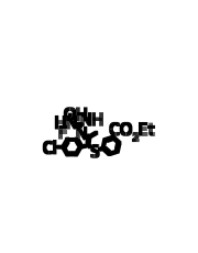 CCOC(=O)c1cccc(Sc2c(C)n(C(=N)NO)c3c(F)c(Cl)ccc23)c1